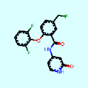 O=C(Nc1cc[nH]c(=O)c1)c1cc(CF)ccc1Oc1c(F)cccc1F